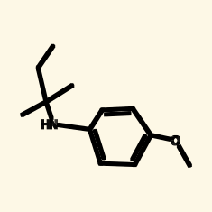 CCC(C)(C)Nc1ccc(OC)cc1